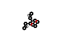 c1ccc(-c2cccc3cccc(-c4ccccc4N(c4cccc(-c5cccc6c5oc5ccccc56)c4)c4ccc5oc6ccccc6c5c4)c23)cc1